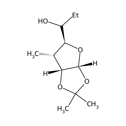 CCC(O)[C@H]1O[C@@H]2OC(C)(C)O[C@@H]2[C@@H]1C